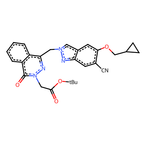 CC(C)(C)OC(=O)Cn1nc(Cn2cc3cc(OCC4CC4)c(C#N)cc3n2)c2ccccc2c1=O